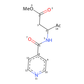 COC(=O)CC(NC(=O)c1ccncc1)C(C)=O